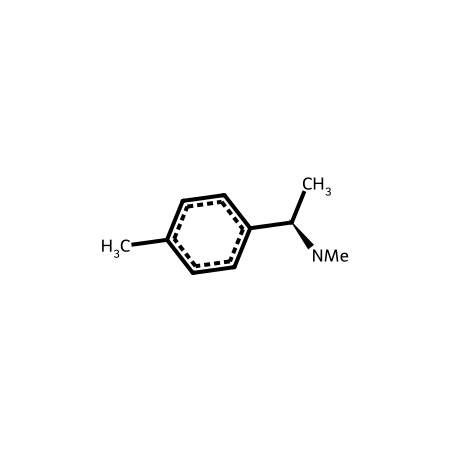 CN[C@H](C)c1ccc(C)cc1